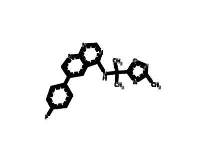 Cc1noc(C(C)(C)Nc2ncnc3ncc(-c4ccc(F)cc4)cc23)n1